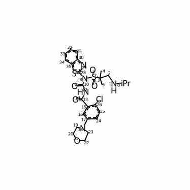 CC(C)NCC(C)(C)S(=O)(=O)N(C(=O)NC(=O)c1cc(N2CCOCC2)ccc1Cl)c1nc2ccccc2s1